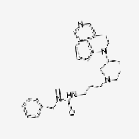 O=C(NCCCN1CCCC(N2CCc3cncc4cccc2c34)C1)NCc1ccccc1